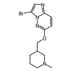 CN1CCCC(COc2ccc3ncc(Br)n3n2)C1